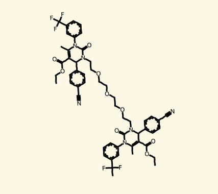 CCOC(=O)C1=C(C)N(c2cccc(C(C)(F)F)c2)C(=O)N(CCOCCOCCOCCN2C(=O)N(c3cccc(C(F)(F)F)c3)C(C)=C(C(=O)OCC)C2c2ccc(C#N)cc2)C1c1ccc(C#N)cc1